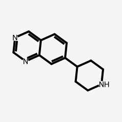 c1ncc2ccc(C3CCNCC3)cc2n1